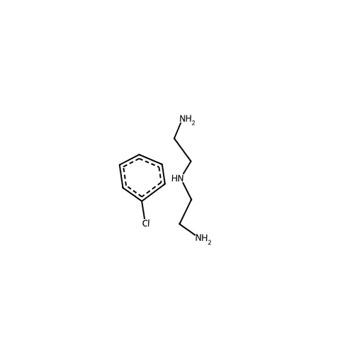 Clc1ccccc1.NCCNCCN